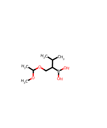 COC(C)OCC(B(O)O)C(C)C